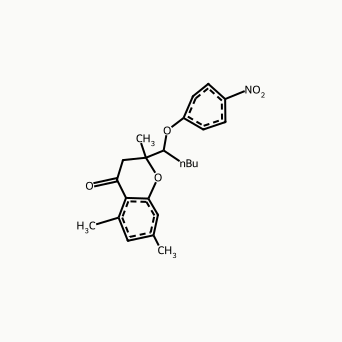 CCCCC(Oc1ccc([N+](=O)[O-])cc1)C1(C)CC(=O)c2c(C)cc(C)cc2O1